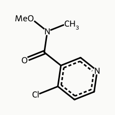 CON(C)C(=O)c1cnccc1Cl